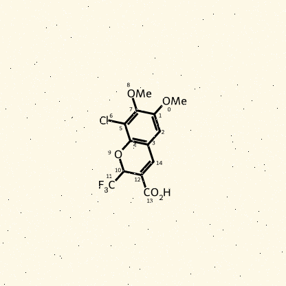 COc1cc2c(c(Cl)c1OC)OC(C(F)(F)F)C(C(=O)O)=C2